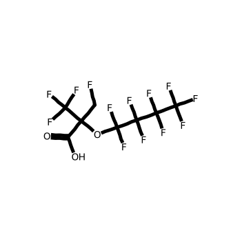 O=C(O)C(CF)(OC(F)(F)C(F)(F)C(F)(F)C(F)(F)F)C(F)(F)F